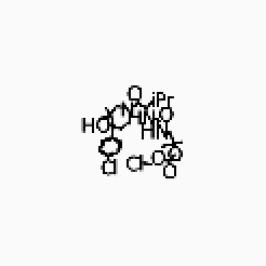 CC(C)C(NC(=O)NCC(C)(C)OC(=O)OCCl)C(=O)N1CCC(O)(c2ccc(Cl)cc2)C(C)(C)C1